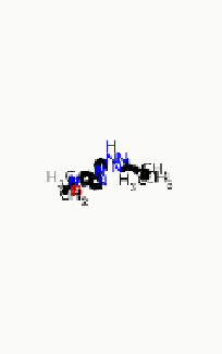 C=CC(=O)N(C)c1ccc2c(N3CC[C@@H](Nc4ncc(C#C[Si](C)(C)C)cn4)C3)nccc2c1